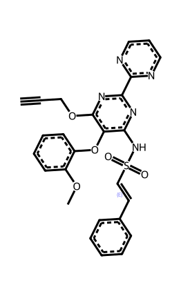 C#CCOc1nc(-c2ncccn2)nc(NS(=O)(=O)/C=C/c2ccccc2)c1Oc1ccccc1OC